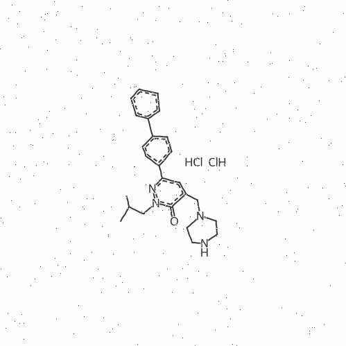 CC(C)Cn1nc(-c2ccc(-c3ccccc3)cc2)cc(CN2CCNCC2)c1=O.Cl.Cl